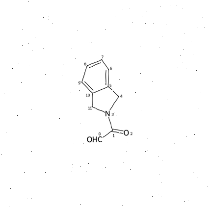 O=CC(=O)N1Cc2ccccc2C1